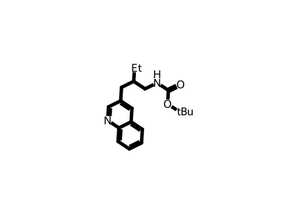 CCC(CNC(=O)OC(C)(C)C)Cc1cnc2ccccc2c1